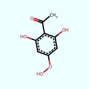 CC(=O)c1c(O)cc(OO)cc1O